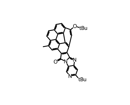 Cc1cc2c3c(=O)n4c5cnc(C(C)(C)C)cc5nc4c3c3cc(OC(C)(C)C)c4ccc5ccc1c1c5c4c3c21